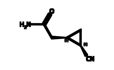 N#C[C@@H]1C[C@@H]1CC(N)=O